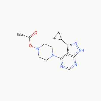 CC(C)(C)C(=O)ON1CCN(c2ncnc3[nH]nc(C4CC4)c23)CC1